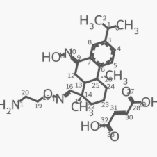 CC(C)c1ccc2c(c1)/C(=N/O)CC1[C@@](C)(/C=N/OCCN)CCC[C@]21C.O=C(O)/C=C/C(=O)O